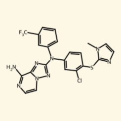 Cn1ccnc1Sc1ccc(N(c2cccc(C(F)(F)F)c2)c2nc3c(N)nccn3n2)cc1Cl